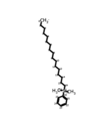 [CH2]CCCCCCCCCCCCCCCC[Si](C)(C)c1ccccc1